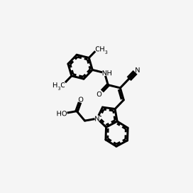 Cc1ccc(C)c(NC(=O)C(C#N)=Cc2cn(CC(=O)O)c3ccccc23)c1